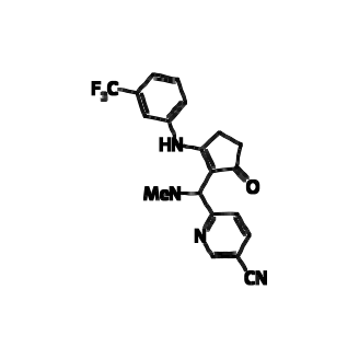 CNC(C1=C(Nc2cccc(C(F)(F)F)c2)CCC1=O)c1ccc(C#N)cn1